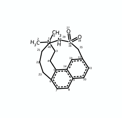 CN(C)CCc1c2ccc3ccc(cc13)CS(=O)(=O)NCCCC2